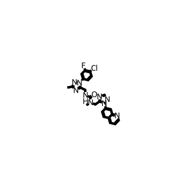 Cc1nc(CNC(=O)N(C)Cc2ncnn2-c2ccc3cccnc3c2)n(-c2ccc(Cl)c(F)c2)n1